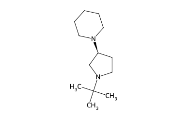 CC(C)(C)N1CC[C@H](N2CCCCC2)C1